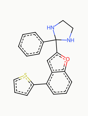 c1ccc(C2(c3cc4c(-c5cccs5)cccc4o3)NCCN2)cc1